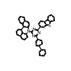 c1ccc(-c2ccc(-c3nc(-c4ccc5c(c4)sc4ccccc45)nc(N4c5ccc6ccccc6c5-c5cccc6cccc4c56)n3)cc2)cc1